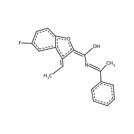 CC=c1/c(=C(O)\N=C(/C)c2ccccc2)oc2ccc(F)cc12